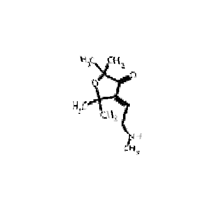 CNCC=C1C(=O)C(C)(C)OC1(C)C